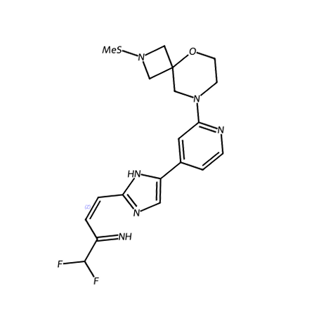 CSN1CC2(C1)CN(c1cc(-c3cnc(/C=C\C(=N)C(F)F)[nH]3)ccn1)CCO2